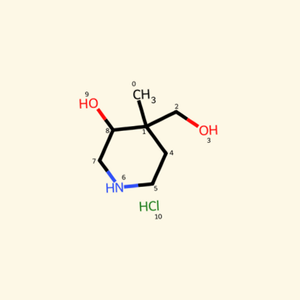 CC1(CO)CCNCC1O.Cl